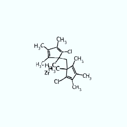 CC1=C(C)C(C)(CC2(C)C(C)=C(C)C(C)=C2Cl)C(Cl)=C1C.[Zr]